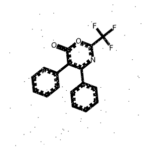 O=c1oc(C(F)(F)F)nc(-c2ccccc2)c1-c1ccccc1